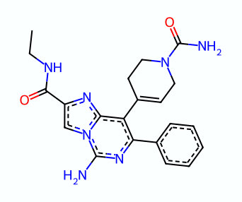 CCNC(=O)c1cn2c(N)nc(-c3ccccc3)c(C3=CCN(C(N)=O)CC3)c2n1